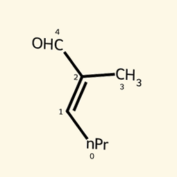 CCCC=C(C)C=O